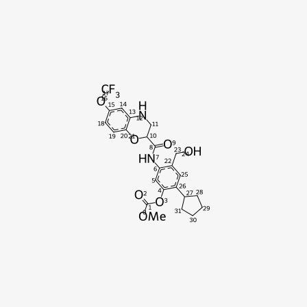 COC(=O)Oc1cc(NC(=O)C2CNc3cc(OC(F)(F)F)ccc3O2)c(CO)cc1C1CCCC1